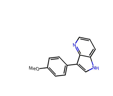 COc1ccc(-c2c[nH]c3cccnc23)cc1